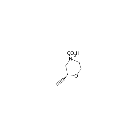 C#C[C@H]1CN(C(=O)O)CCO1